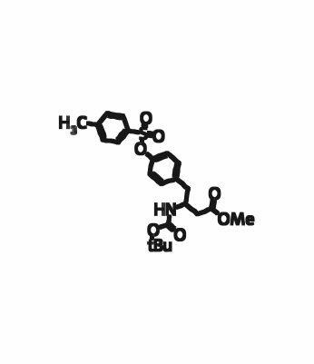 COC(=O)CC(Cc1ccc(OS(=O)(=O)c2ccc(C)cc2)cc1)NC(=O)OC(C)(C)C